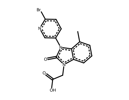 Cc1cccc2c1n(-c1ccc(Br)nc1)c(=O)n2CC(=O)O